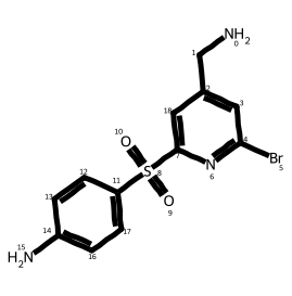 NCc1cc(Br)nc(S(=O)(=O)c2ccc(N)cc2)c1